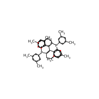 Cc1cc(C)cc(P(C2=C(c3c(P(c4cc(C)cc(C)c4)c4cc(C)cc(C)c4)ccc4ccccc34)c3ccccc3CC2)c2cc(C)cc(C)c2)c1